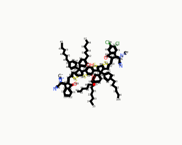 [C-]#[N+]/C(C#N)=C1\C(=C\c2cc3c(s2)-c2sc4c(OCCCCCCCC)c5c6c(sc5c(O)c4c2C3(c2ccc(CCCCCC)cc2)c2ccc(CCCCCC)cc2)-c2sc(/C=C3\C(=O)c4cc(Cl)c(Cl)cc4\C3=C(\C#N)[N+]#[C-])cc2C6(c2ccc(CCCCCC)cc2)c2ccc(CCCCCC)cc2)C(=O)c2ccccc21